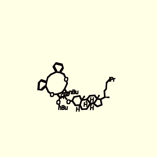 CCCCO[C@@H]1C2COCc3ccccc3CCc3ccccc3COC1[C@H](OCCCC)[C@H](OC1CC[C@@]3(C)[C@@H](CC[C@@H]4[C@@H]3CC[C@]3(C)C([C@H](C)CCCC(C)C)CC[C@@H]43)C1)O2